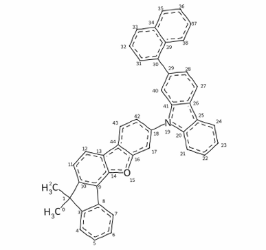 CC1(C)c2ccccc2-c2c1ccc1c2oc2cc(-n3c4ccccc4c4ccc(-c5cccc6ccccc56)cc43)ccc21